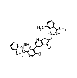 Cc1cccc(C(C)NC(=O)CN2Cc3ncc(-c4nc(ON(N)c5ccccc5N)ncc4Cl)cc3C2=O)c1